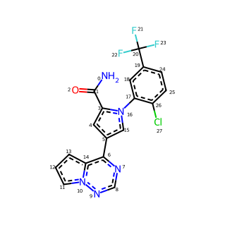 NC(=O)c1cc(-c2ncnn3cccc23)cn1-c1cc(C(F)(F)F)ccc1Cl